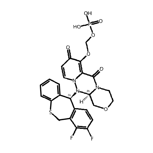 O=C1c2c(OCOP(=O)(O)O)c(=O)ccn2N([C@@H]2c3ccccc3SCc3c2ccc(F)c3F)[C@@H]2COCCN12